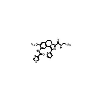 COc1cc2c(cc1NC(=O)c1cscn1)-c1c(-c3cccs3)nc(C(=O)NCC(C)(C)C)n1CC2